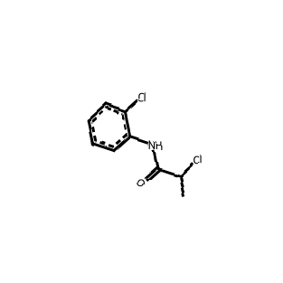 CC(Cl)C(=O)Nc1ccccc1Cl